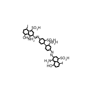 Nc1c(N=Nc2ccc(-c3ccc(N=Nc4cc(S(=O)(=O)O)c5c(I)ccc(O)c5c4N)cc3S(=O)(=O)O)c(S(=O)(=O)O)c2)cc(S(=O)(=O)O)c2c(I)ccc(O)c12